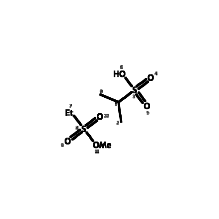 CC(C)S(=O)(=O)O.CCS(=O)(=O)OC